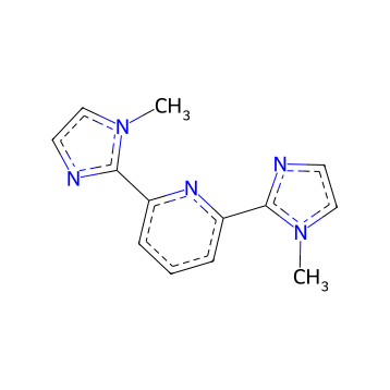 Cn1ccnc1-c1cccc(-c2nccn2C)n1